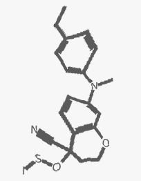 CCc1ccc(N(C)c2ccc3c(c2)OCCC3(C#N)OSI)cc1